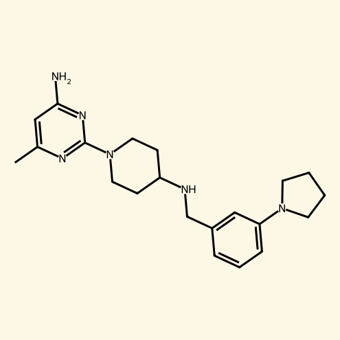 Cc1cc(N)nc(N2CCC(NCc3cccc(N4CCCC4)c3)CC2)n1